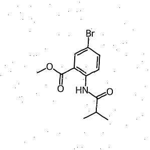 COC(=O)c1cc(Br)ccc1NC(=O)C(C)C